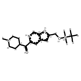 CN1CCC(C(=O)c2cc3cc(CO[Si](C)(C)C(C)(C)C)oc3cn2)CC1